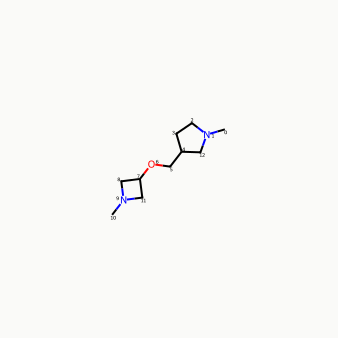 CN1CCC(COC2CN(C)C2)C1